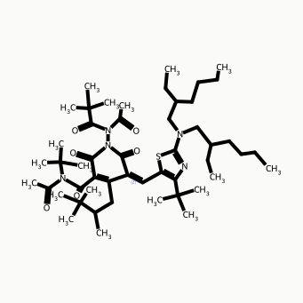 CCCCC(CC)CN(CC(CC)CCCC)c1nc(C(C)(C)C)c(/C=C2\C(=O)N(N(C(C)=O)C(=O)C(C)(C)C)C(=O)C(C(=O)N(C(C)=O)C(C)(C)C)=C2CC(C)C(C)(C)C)s1